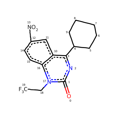 O=c1nc(C2CCCCC2)c2cc([N+](=O)[O-])ccc2n1CC(F)(F)F